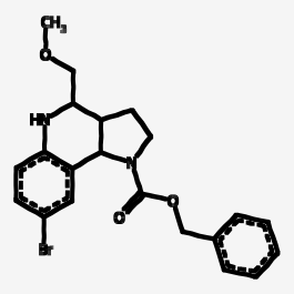 COCC1Nc2ccc(Br)cc2C2C1CCN2C(=O)OCc1ccccc1